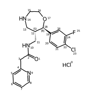 Cl.O=C(Cc1ccccn1)NC[C@@H]1CNCCO[C@H]1c1ccc(Cl)c(F)c1